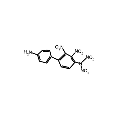 Nc1ccc(-c2ccc(N([N+](=O)[O-])[N+](=O)[O-])c([N+](=O)[O-])c2[N+](=O)[O-])cc1